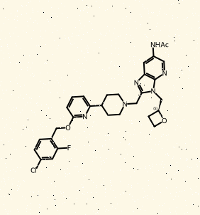 CC(=O)Nc1cnc2c(c1)nc(CN1CCC(c3cccc(OCc4ccc(Cl)cc4F)n3)CC1)n2C[C@@H]1CCO1